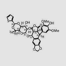 [2H]C1([2H])O[C@@H](c2cccs2)O[C@H]2[C@H](O)[C@@H](O)[C@H](O[C@@H]3c4cc5c(cc4[C@@]([2H])(c4cc(OC)c(O)c(OC)c4)[C@H]4C(=O)OC[C@H]34)OCO5)O[C@@H]21